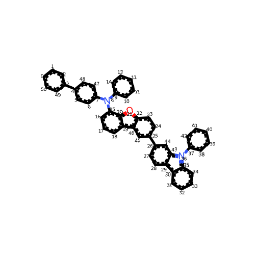 c1ccc(-c2ccc(N(c3ccccc3)c3cccc4c3oc3ccc(-c5ccc6c7ccccc7n(-c7ccccc7)c6c5)cc34)cc2)cc1